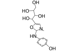 CN1C=C(C(O)C(O)C(O)CO)OC1Nc1ccc(O)cc1